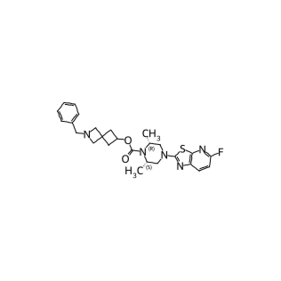 C[C@@H]1CN(c2nc3ccc(F)nc3s2)C[C@H](C)N1C(=O)OC1CC2(C1)CN(Cc1ccccc1)C2